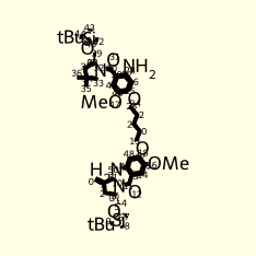 C=C1C[C@@H](CO[Si](C)(C)C(C)(C)C)N(C(=O)c2cc(OC)c(OCCCCCOc3cc(N)c(C(=O)N4CC(C)(C)C[C@H]4CO[Si](C)(C)C(C)(C)C)cc3OC)cc2N)C1